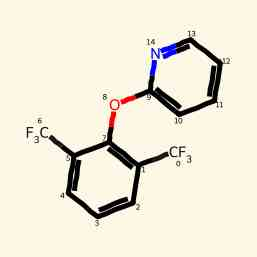 FC(F)(F)c1cccc(C(F)(F)F)c1Oc1cc[c]cn1